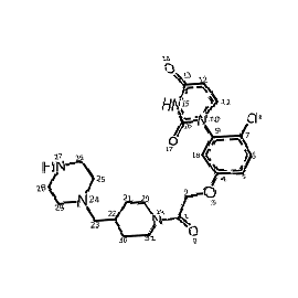 O=C(COc1ccc(Cl)c(-n2ccc(=O)[nH]c2=O)c1)N1CCC(CN2CCNCC2)CC1